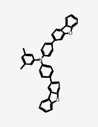 Cc1cc(C)cc(N(c2ccc(-c3ccc4c(c3)oc3ccccc34)cc2)c2ccc(-c3ccc4oc5ccccc5c4c3)cc2)c1